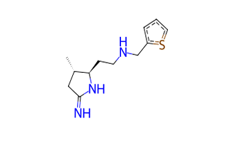 C[C@H]1CC(=N)N[C@@H]1CCNCc1cccs1